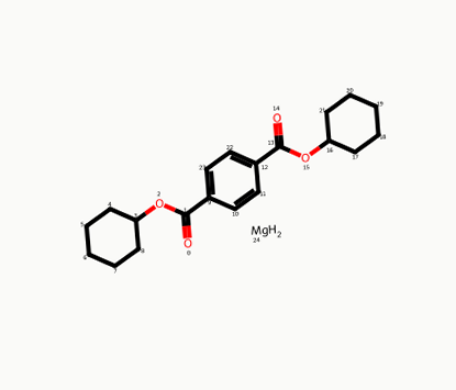 O=C(OC1CCCCC1)c1ccc(C(=O)OC2CCCCC2)cc1.[MgH2]